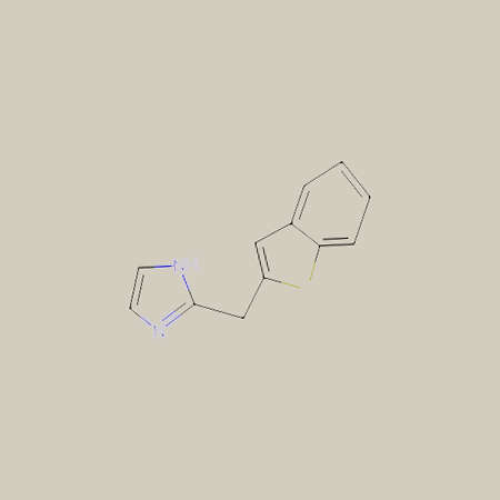 c1ccc2sc(Cc3ncc[nH]3)cc2c1